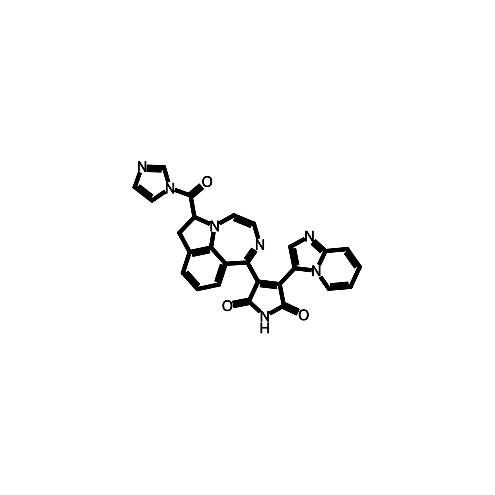 O=C1NC(=O)C(c2cnc3ccccn23)=C1C1=NC=CN2c3c(cccc31)CC2C(=O)n1ccnc1